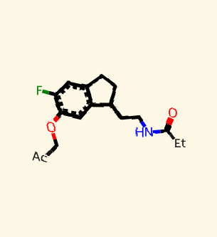 CCC(=O)NCCC1CCc2cc(F)c(OCC(C)=O)cc21